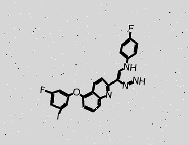 N=N/C(=C\Nc1ccc(F)cc1)c1ccc2c(Oc3cc(F)cc(I)c3)cccc2n1